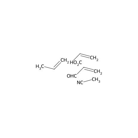 C=CC.C=CC(=O)O.C=CC=O.CC#N